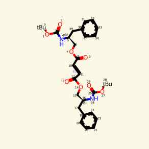 CC(C)(C)OC(=O)N[C@H](COC(=O)/C=C/C(=O)OC[C@H](Cc1ccccc1)NC(=O)OC(C)(C)C)Cc1ccccc1